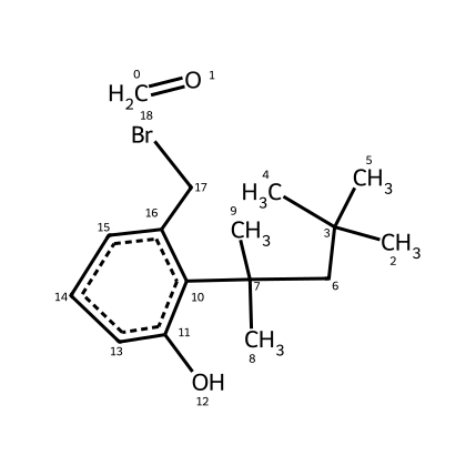 C=O.CC(C)(C)CC(C)(C)c1c(O)cccc1CBr